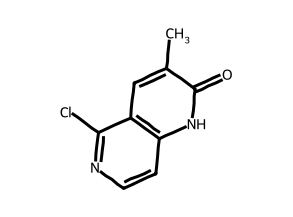 Cc1cc2c(Cl)nccc2[nH]c1=O